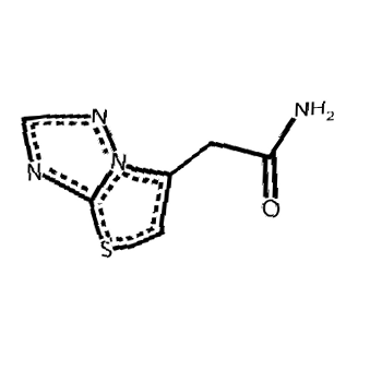 NC(=O)Cc1csc2ncnn12